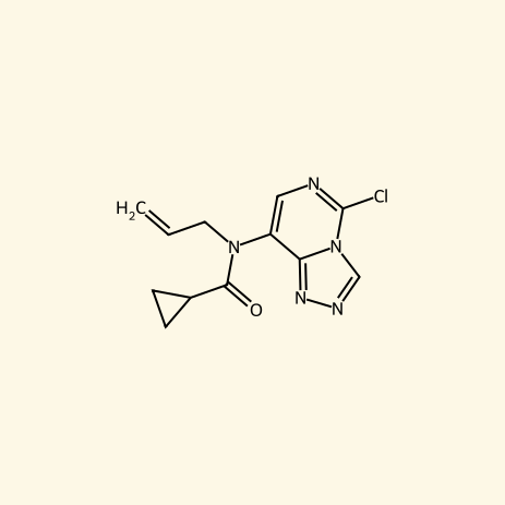 C=CCN(C(=O)C1CC1)c1cnc(Cl)n2cnnc12